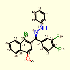 COc1cc(C(=NNc2ccccc2)c2ccc(F)c(F)c2)c(Br)c2ccccc12